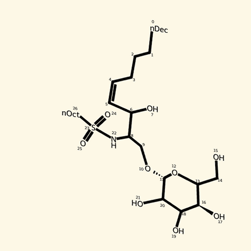 CCCCCCCCCCCCC/C=C\C(O)C(CO[C@@H]1OC(CO)[C@@H](O)C(O)C1O)NS(=O)(=O)CCCCCCCC